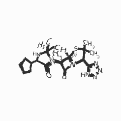 CC1(C)S[C@H]2C(N3C(=O)C(C4CCCC4)NC3(C)C)C(=O)N2C1c1nnn[nH]1